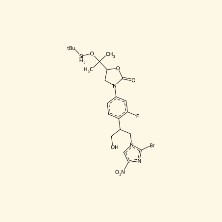 CC(C)(C)[SiH2]OC(C)(C)C1CN(c2ccc(C(CO)Cn3cc([N+](=O)[O-])nc3Br)c(F)c2)C(=O)O1